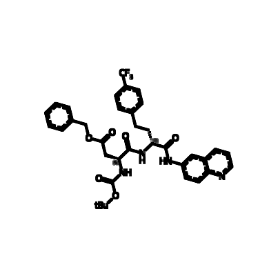 CC(C)(C)OC(=O)N[C@@H](CC(=O)OCc1ccccc1)C(=O)N[C@H](CCc1ccc(C(F)(F)F)cc1)C(=O)Nc1ccc2ncccc2c1